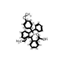 CCNC(SC(c1ccccc1)(c1ccccc1)c1ccc(OC)cc1)c1ccccc1C(=O)O